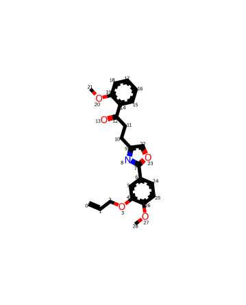 C=CCOc1cc(-c2nc(CCC(=O)c3ccccc3OC)co2)ccc1OC